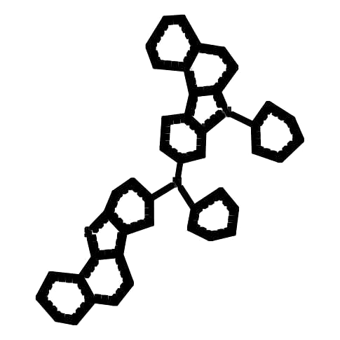 c1ccc(N(c2ccc3sc4c5ccccc5ccc4c3c2)c2ccc3c4c5ccccc5ccc4n(-c4ccccc4)c3c2)cc1